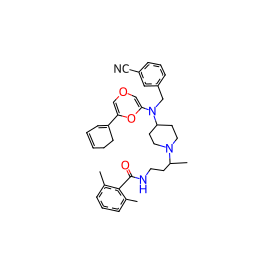 Cc1cccc(C)c1C(=O)NCCC(C)N1CCC(N(Cc2cccc(C#N)c2)C2=COC=C(C3=CC=CCC3)O2)CC1